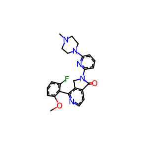 COc1cccc(F)c1-c1nccc2c1CN(c1cccc(N3CCN(C)CC3)n1)C2=O